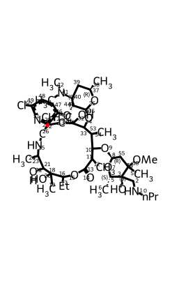 CCCNC[C@]1(O)[C@H](C)O[C@@H](OC2C(C)C(=O)OC(CC)C(C)(O)C(O)C(C)NCC(C)CC(C)(O)C(O[C@@H]3O[C@H](C)C[C@H](N(C)C)[C@H]3Oc3ccc(Cl)nc3)C2C)C[C@@]1(C)OC